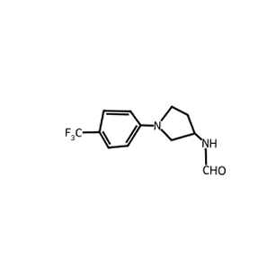 O=CNC1CCN(c2ccc(C(F)(F)F)cc2)C1